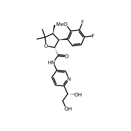 COc1c([C@H]2[C@H](C(=O)Nc3ccc([C@H](O)CO)nc3)OC(C)(C)[C@H]2C)ccc(F)c1F